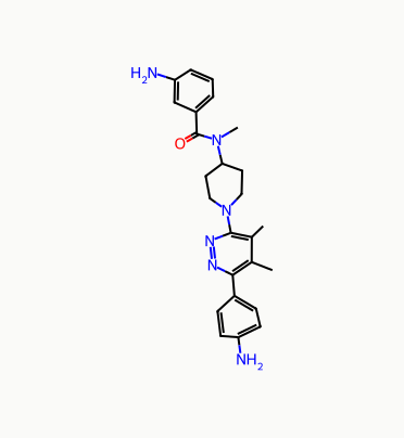 Cc1c(-c2ccc(N)cc2)nnc(N2CCC(N(C)C(=O)c3cccc(N)c3)CC2)c1C